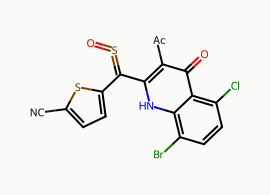 CC(=O)c1c(C(=S=O)c2ccc(C#N)s2)[nH]c2c(Br)ccc(Cl)c2c1=O